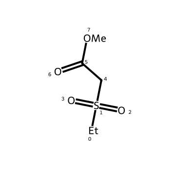 CCS(=O)(=O)CC(=O)OC